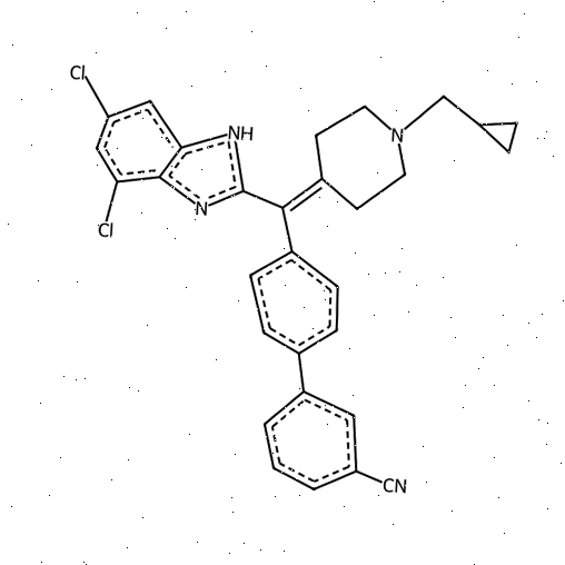 N#Cc1cccc(-c2ccc(C(=C3CCN(CC4CC4)CC3)c3nc4c(Cl)cc(Cl)cc4[nH]3)cc2)c1